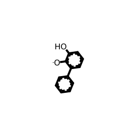 [O]c1c(O)cccc1-c1ccccc1